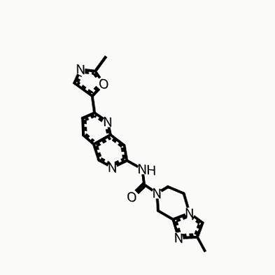 Cc1cn2c(n1)CN(C(=O)Nc1cc3nc(-c4cnc(C)o4)ccc3cn1)CC2